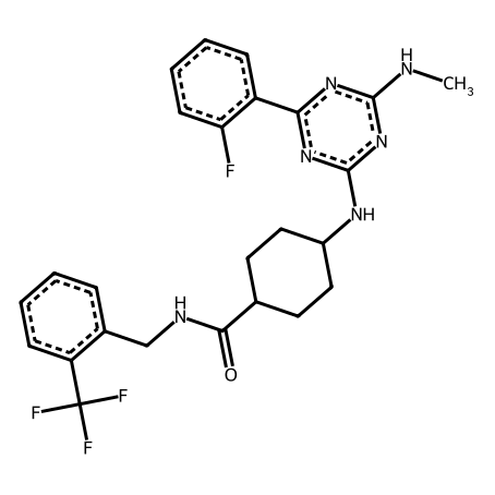 CNc1nc(NC2CCC(C(=O)NCc3ccccc3C(F)(F)F)CC2)nc(-c2ccccc2F)n1